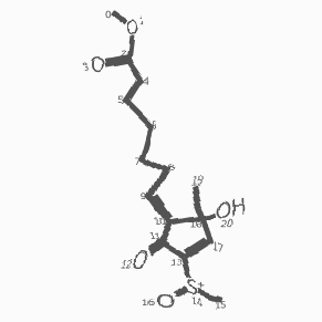 COC(=O)CCCCCC=C1C(=O)C([S+](C)[O-])=CC1(C)O